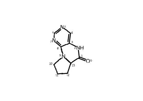 O=C1Nc2cncnc2N2CCCC12